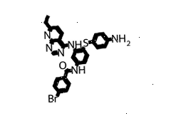 CCc1ccc2c(Nc3cc(NC(=O)c4ccc(Br)cc4)ccc3Sc3ccc(N)cc3)ncnc2n1